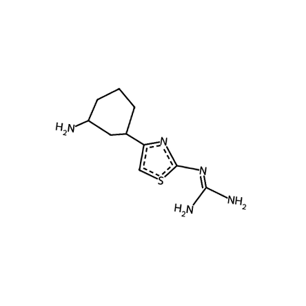 NC(N)=Nc1nc(C2CCCC(N)C2)cs1